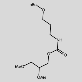 CCCCOCCCNC(=O)OCC(COC)OC